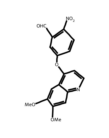 COc1cc2nccc(Oc3ccc([N+](=O)[O-])c(C=O)c3)c2cc1OC